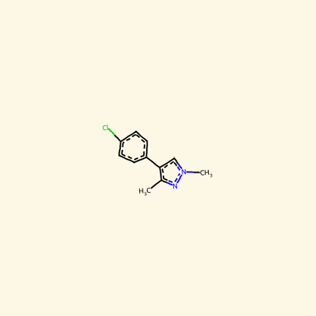 Cc1nn(C)[c]c1-c1ccc(Cl)cc1